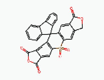 O=C1OCc2cc3c(cc21)C1(c2ccccc2-c2ccccc21)c1cc2c(cc1S3(=O)=O)C(=O)OC2=O